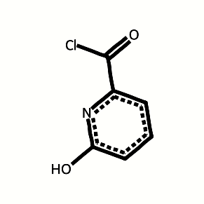 O=C(Cl)c1cccc(O)n1